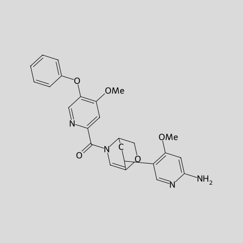 COc1cc(C(=O)N2C=C3OCC2CC3c2cnc(N)cc2OC)ncc1Oc1ccccc1